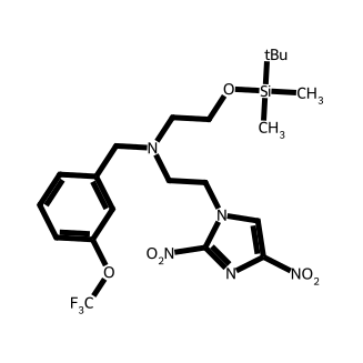 CC(C)(C)[Si](C)(C)OCCN(CCn1cc([N+](=O)[O-])nc1[N+](=O)[O-])Cc1cccc(OC(F)(F)F)c1